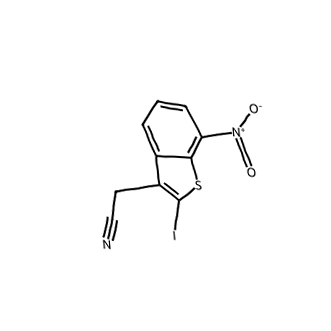 N#CCc1c(I)sc2c([N+](=O)[O-])cccc12